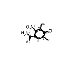 Cc1cc(C(N)=O)c([N+](=O)[O-])c(C)c1Cl